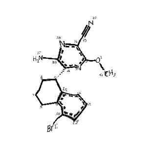 COc1nc([C@H]2CCCc3c(Br)cccc32)c(N)nc1C#N